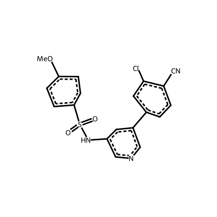 COc1ccc(S(=O)(=O)Nc2cncc(-c3ccc(C#N)c(Cl)c3)c2)cc1